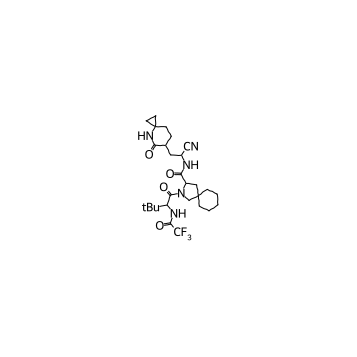 CC(C)(C)C(NC(=O)C(F)(F)F)C(=O)N1CC2(CCCCC2)CC1C(=O)NC(C#N)CC1CCC2(CC2)NC1=O